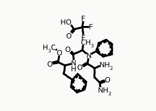 COC(=O)C(Cc1ccccc1)NC(=O)C(C)N(C(=O)C(N)CC(N)=O)c1ccccc1.O=C(O)C(F)(F)F